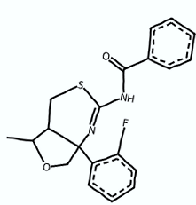 CC1OCC2(c3ccccc3F)N=C(NC(=O)c3ccccc3)SCC12